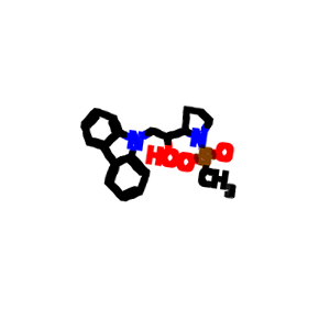 CS(=O)(=O)N1CCCC1C(O)Cn1c2ccccc2c2ccccc21